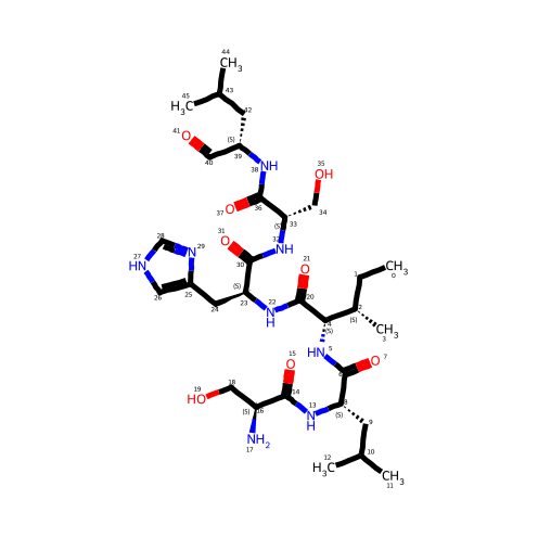 CC[C@H](C)[C@H](NC(=O)[C@H](CC(C)C)NC(=O)[C@@H](N)CO)C(=O)N[C@@H](Cc1c[nH]cn1)C(=O)N[C@@H](CO)C(=O)N[C@H]([C]=O)CC(C)C